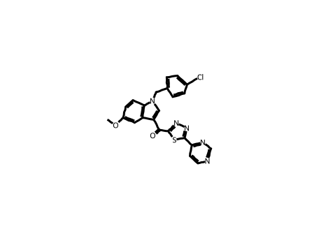 COc1ccc2c(c1)c(C(=O)c1nnc(-c3ccncn3)s1)cn2Cc1ccc(Cl)cc1